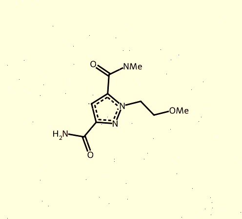 CNC(=O)c1[c]c(C(N)=O)nn1CCOC